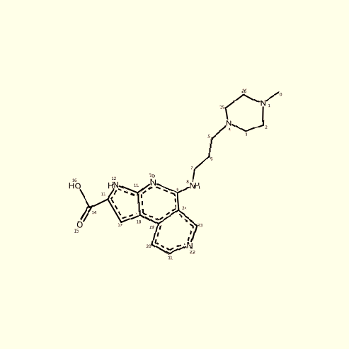 CN1CCN(CCCNc2nc3[nH]c(C(=O)O)cc3c3ccncc23)CC1